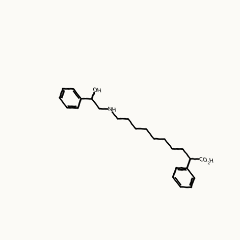 O=C(O)C(CCCCCCCCNCC(O)c1ccccc1)c1ccccc1